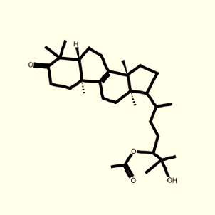 CC(=O)OC(CCC(C)C1CC[C@@]2(C)C3=C(CC[C@]12C)[C@@]1(C)CCC(=O)C(C)(C)[C@@H]1CC3)C(C)(C)O